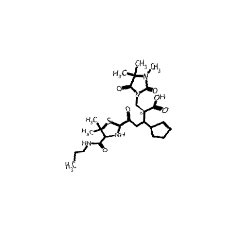 CCCNC(=O)C1NC(C(=O)CC(C2CCCC2)[C@@H](CN2C(=O)N(C)C(C)(C)C2=O)C(=O)O)SC1(C)C